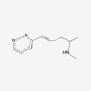 CNC(C)CC=Cc1cccnn1